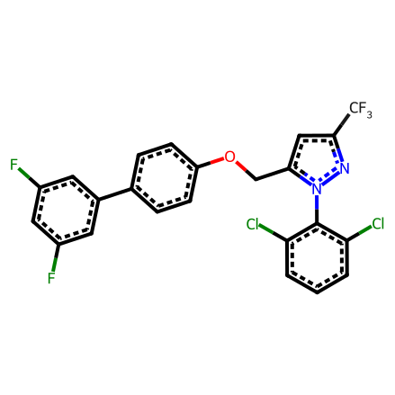 Fc1cc(F)cc(-c2ccc(OCc3cc(C(F)(F)F)nn3-c3c(Cl)cccc3Cl)cc2)c1